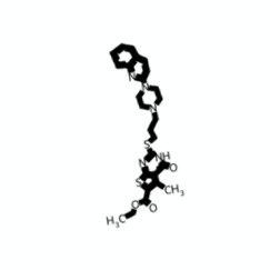 CCOC(=O)c1sc2nc(SCCCN3CCN(c4ccc5ccccc5n4)CC3)[nH]c(=O)c2c1C